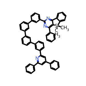 C[Si]1(C)c2ccccc2-c2nc(-c3cccc(-c4cccc(-c5cccc(-c6cccc(-c7cc(-c8ccccc8)cc(-c8ccccc8)n7)c6)c5)c4)c3)nc(-c3ccccc3)c21